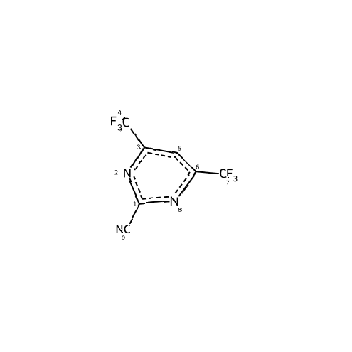 N#Cc1nc(C(F)(F)F)cc(C(F)(F)F)n1